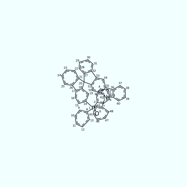 O=P(c1ccccc1)(c1ccccc1)c1ccc2c(c1)C1(c3ccccc3-2)c2ccccc2-c2cc3c4ccccc4n(-c4ccccc4)c3cc21